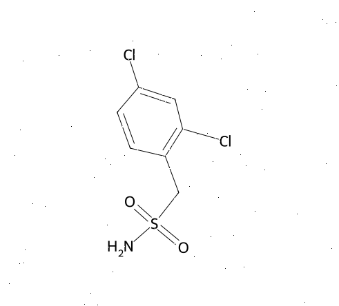 NS(=O)(=O)Cc1ccc(Cl)cc1Cl